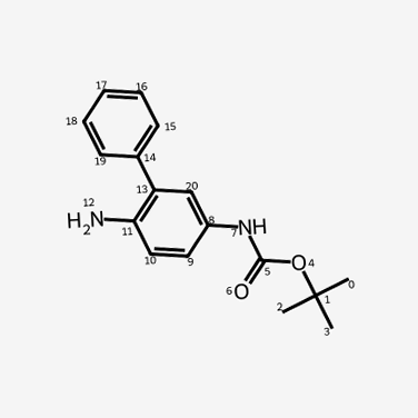 CC(C)(C)OC(=O)Nc1ccc(N)c(-c2ccccc2)c1